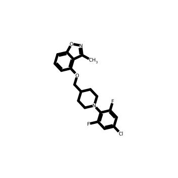 Cc1noc2cccc(OCC3CCN(c4c(F)cc(Cl)cc4F)CC3)c12